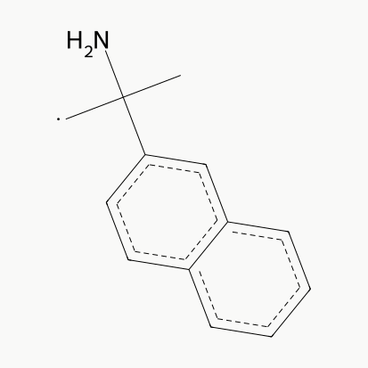 [CH2]C(C)(N)c1ccc2ccccc2c1